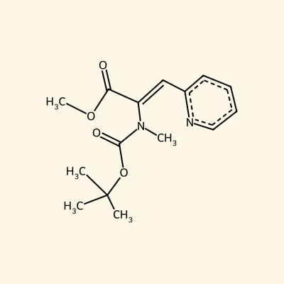 COC(=O)/C(=C/c1ccccn1)N(C)C(=O)OC(C)(C)C